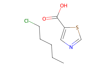 CCCCCCl.O=C(O)c1cncs1